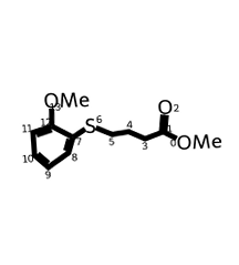 COC(=O)CCCSc1ccccc1OC